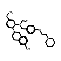 CCN(Cc1ccc(OCCN2CCCCC2)cc1)C1C=C(OC)C=CC1[C@@H]1CCc2cc(O)ccc2C1